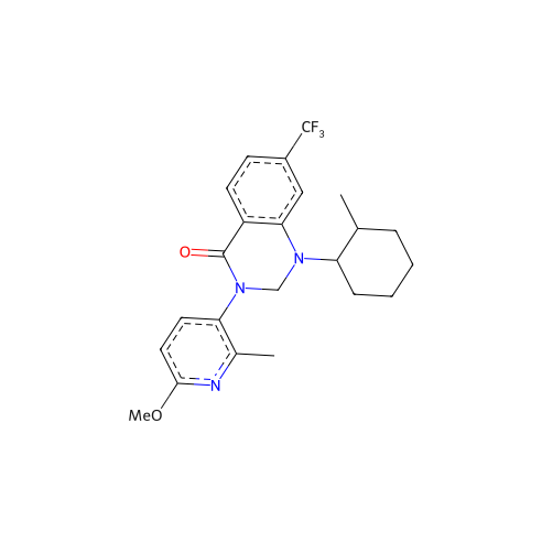 COc1ccc(N2CN(C3CCCCC3C)c3cc(C(F)(F)F)ccc3C2=O)c(C)n1